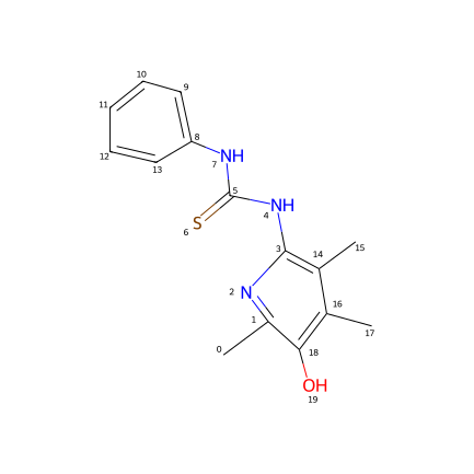 Cc1nc(NC(=S)Nc2ccccc2)c(C)c(C)c1O